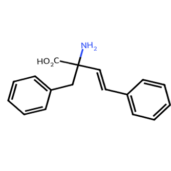 NC(C=Cc1ccccc1)(Cc1ccccc1)C(=O)O